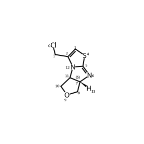 ClCC1=CSC2=N[C@@H]3COCC3N12